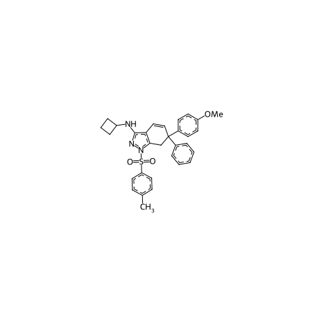 COc1ccc(C2(c3ccccc3)C=Cc3c(NC4CCC4)nn(S(=O)(=O)c4ccc(C)cc4)c3C2)cc1